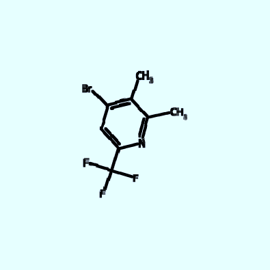 Cc1nc(C(F)(F)F)cc(Br)c1C